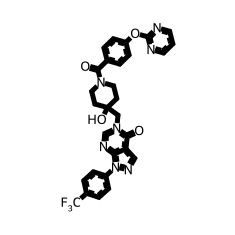 O=C(c1ccc(Oc2ncccn2)cc1)N1CCC(O)(Cn2cnc3c(cnn3-c3ccc(C(F)(F)F)cc3)c2=O)CC1